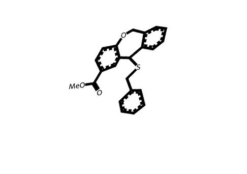 COC(=O)c1ccc2c(c1)C(SCc1ccccc1)c1ccccc1CO2